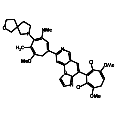 CNC1=C(N2CCC3(CCOC3)C2)C(C)=C(OC)CC(c2cc3c(cn2)cc(C2=C(Cl)C(OC)=CCC(OC)=C2Cl)c2nccn23)=C1